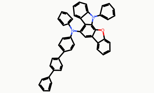 c1ccc(-c2ccc(-c3ccc(N(c4ccccc4)c4cc5c6ccccc6oc5c5c4c4ccccc4n5-c4ccccc4)cc3)cc2)cc1